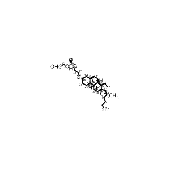 CC(C)CCC[C@@H](C)[C@H]1CC[C@H]2[C@@H]3CC=C4C[C@@H](OCCO[PH](=O)OCC=O)CC[C@]4(C)[C@H]3CC[C@]12C